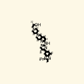 Cc1nc2c(F)cc(-c3nc(Nc4ccc5c(n4)CCN(C4CCN(C[C@H](C)O)CC4)C5)ncc3F)cc2n1C(C)C